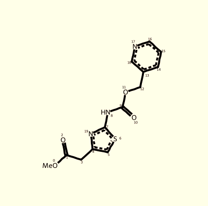 COC(=O)Cc1csc(NC(=O)OCc2cccnc2)n1